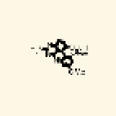 COc1ccc(-c2c(C(=O)O)ccc3nc(N)nc(N)c23)c(OC)c1